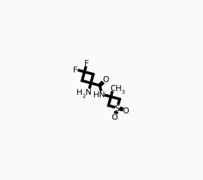 CC1(NC(=O)C2(N)CC(F)(F)C2)CS(=O)(=O)C1